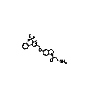 NCCC(=O)N1CCc2cc(OCc3cc(-c4ccccc4)c(C(F)(F)F)s3)ccc21